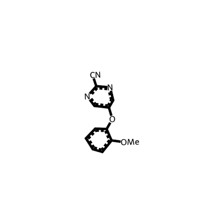 COc1ccccc1Oc1cnc(C#N)nc1